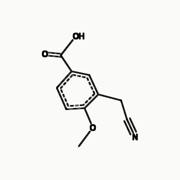 COc1ccc(C(=O)O)cc1CC#N